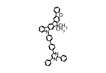 CC1(C)c2cc3oc4ccccc4c3cc2-c2cc3c4ccccc4n(-c4ccc(-c5ccc(-c6cc(-c7ccccc7)nc(-c7ccccc7)n6)cc5)cc4)c3cc21